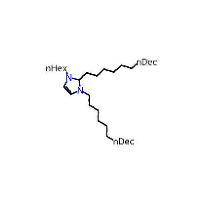 CCCCCCCCCCCCCCCCC1N(CCCCCC)C=CN1CCCCCCCCCCCCCCCC